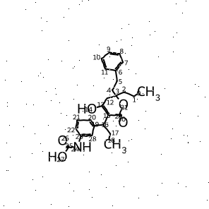 CCCC1(CCc2ccccc2)CC(O)=C(C(CC)c2cccc(NC(=O)O)c2)C(=O)O1